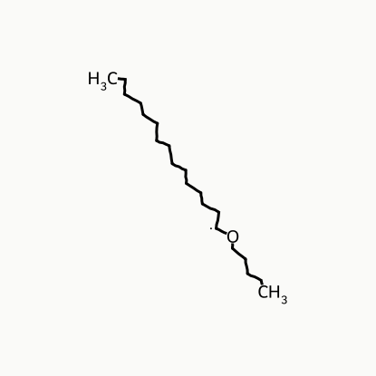 CCCCCCCCCCCCCC[CH]OCCCCC